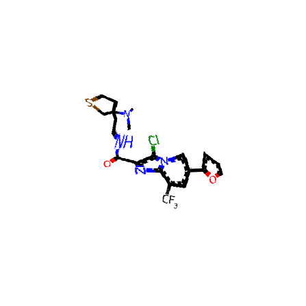 CN(C)C1(CNC(=O)c2nc3c(C(F)(F)F)cc(-c4ccco4)cn3c2Cl)CCSC1